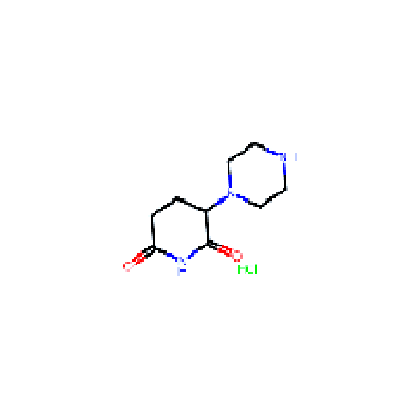 Cl.O=C1CCC(N2CCNCC2)C(=O)N1